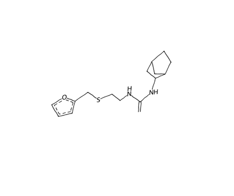 C=C(NCCSCc1ccco1)NC1CC2CCC1C2